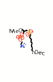 CCCCCCCCCCCCCCCCCCS(=O)(=O)CC(COC)COP(=O)([O-])OCC[N+](C)(C)C